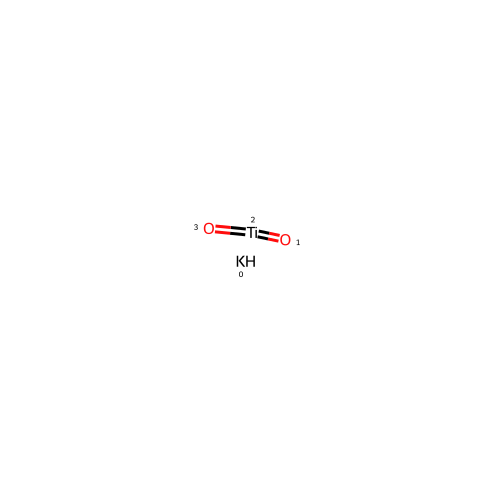 [KH].[O]=[Ti]=[O]